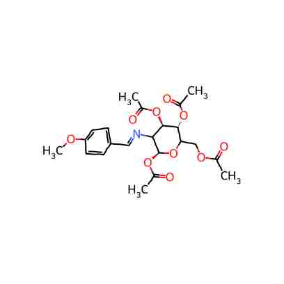 COc1ccc(/C=N/C2[C@H](OC(C)=O)OC(COC(C)=O)[C@@H](OC(C)=O)[C@@H]2OC(C)=O)cc1